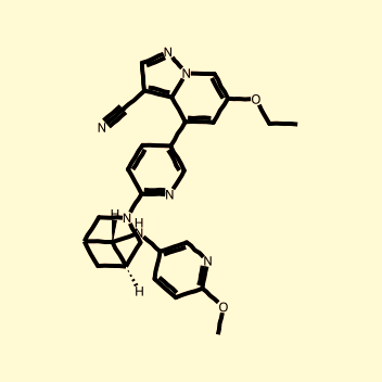 CCOc1cc(-c2ccc(N3CC4C[C@H](C3)[C@H]4Nc3ccc(OC)nc3)nc2)c2c(C#N)cnn2c1